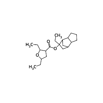 CCC1CC(C(=O)OC2(CC)CC3CC2C2CCCC32)C(CC)O1